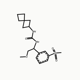 COCC(NC(=O)NC1CC2(CCC2)C1)c1cccc(S(C)(=O)=O)c1